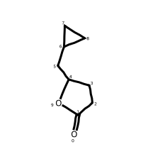 O=C1CCC(CC2CC2)O1